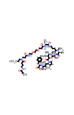 C#CC(=O)NCCCC(=O)N(CCC(=O)O)CCC(=O)NCCOCCOCCC(=O)NC(C)C(=O)NCCCC(=O)N(C)[C@H](C(=O)N[C@H](C(=O)N(C)[C@@H]([C@@H](C)CC)[C@@H](CC(=O)N1CCC[C@H]1[C@H](OC)[C@@H](C)C(=O)N[C@@H](Cc1ccccc1)C(=O)OC)OC)C(C)C)C(C)C